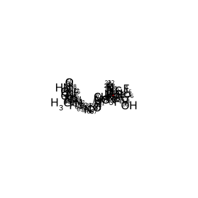 C#Cc1c(F)ccc2cc(O)cc(-c3ncc4c(N5CC6CCC(C5)N6)nc(OC[C@@H]5C[C@@H](OC6CCN(CC7CCN(c8cc(F)c9c(c8F)n(C)c(=O)n9C8CCC(=O)NC8=O)CC7)CC6)CN5C)nc4c3F)c12